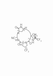 CC1(C)CCC[C@@H]2C[C@@H](CC(C#N)NC(=O)[C@@H]3C[C@@H](C(F)(F)F)CN3C(=O)[C@H]1NC(=O)C(F)(F)F)C(=O)N2